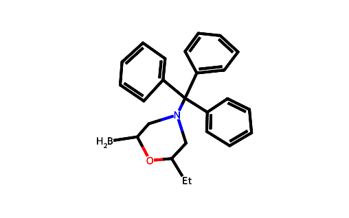 BC1CN(C(c2ccccc2)(c2ccccc2)c2ccccc2)CC(CC)O1